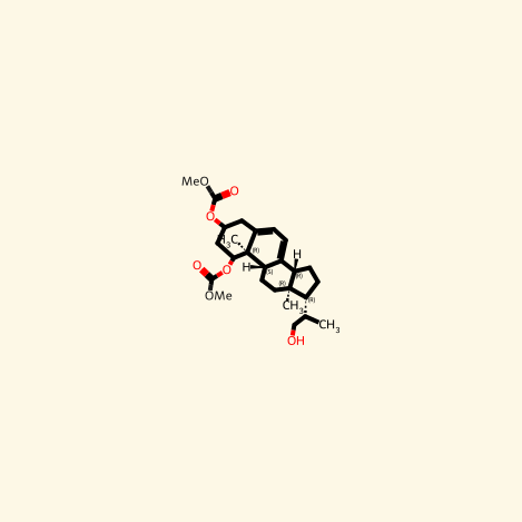 COC(=O)OC1CC2=CC=C3[C@@H]4CC[C@H](C(C)CO)[C@@]4(C)CC[C@@H]3[C@@]2(C)C(OC(=O)OC)C1